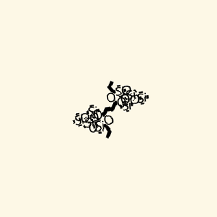 CCC(OC(=O)/C=C/C(=O)OC(CC)[Si](C)(C)O[Si](C)(O[Si](C)(C)C)O[Si](C)(C)C)[Si](C)(C)O[Si](C)(O[Si](C)(C)C)O[Si](C)(C)C